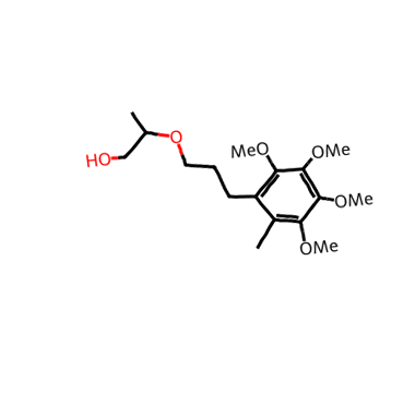 COc1c(C)c(CCCOC(C)CO)c(OC)c(OC)c1OC